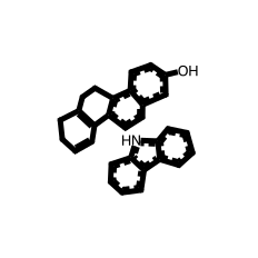 Oc1ccc2c3c(ccc2c1)C1=C(CCC=C1)CC3.c1ccc2c(c1)[nH]c1ccccc12